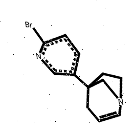 Brc1ccc(C23CC=CN(CC2)C3)cn1